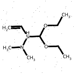 C=C[SiH](C(OCC)OCC)N(C)C